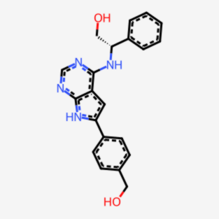 OCc1ccc(-c2cc3c(N[C@H](CO)c4ccccc4)ncnc3[nH]2)cc1